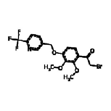 COc1c(OCc2ccc(C(F)(F)F)nc2)ccc(C(=O)CBr)c1OC